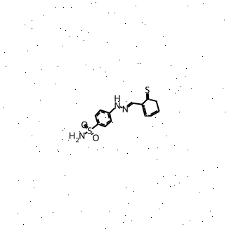 NS(=O)(=O)c1ccc(NN=CC2=CC=CCC2=S)cc1